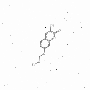 CCOCOc1ccc2cc(C#N)c(=O)oc2c1